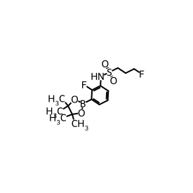 CC1(C)OB(c2cccc(NS(=O)(=O)CCCF)c2F)OC1(C)C